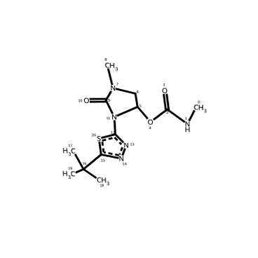 CNC(=O)OC1CN(C)C(=O)N1c1nnc(C(C)(C)C)s1